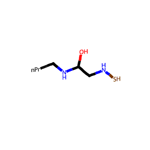 CCCCNC(O)CNS